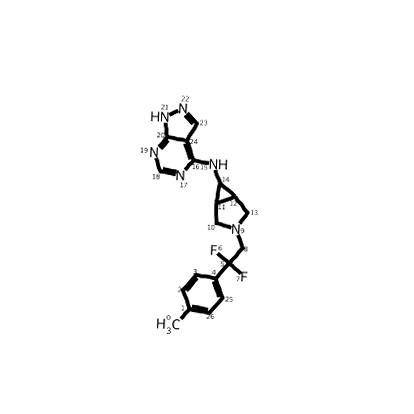 Cc1ccc(C(F)(F)CN2CC3C(C2)C3Nc2ncnc3[nH]ncc23)cc1